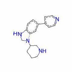 c1cc(-c2ccc3c(c2)N(C2CCCNC2)CN3)ccn1